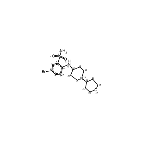 NS(=O)(=O)c1cc(Br)cnc1NC1CCN(C2CCOCC2)CC1